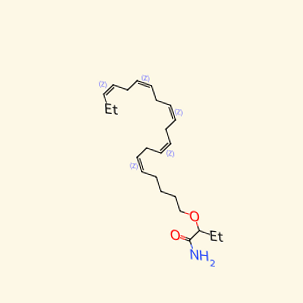 CC/C=C\C/C=C\C/C=C\C/C=C\C/C=C\CCCCOC(CC)C(N)=O